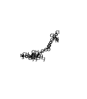 Cc1ncsc1-c1ccc([C@H](C)NC(=O)[C@@H]2C[C@@H](O)CN2C(=O)[C@@H](NC(=O)COCCOCCOCC(=O)N2CCN(c3ccc(OC[C@H]4CO[C@](Cn5ccnc5)(c5ccc(Cl)cc5Cl)O4)cc3)CC2)C(C)(C)C)cc1